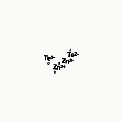 [Te-2].[Te-2].[Zn+2].[Zn+2]